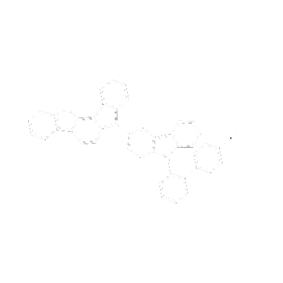 CC(C)(C)c1ccc(-c2ccccc2-n2c3ccccc3c3cc(-n4c5ccccc5c5c6sc7ccccc7c6ccc54)ccc32)cc1